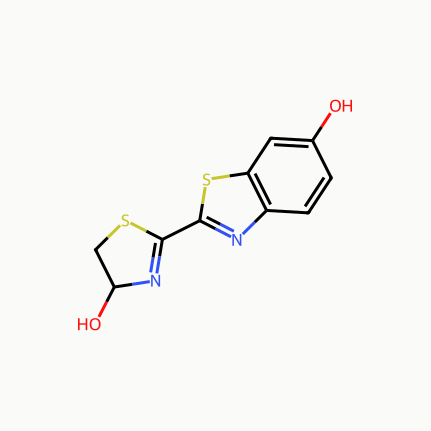 Oc1ccc2nc(C3=NC(O)CS3)sc2c1